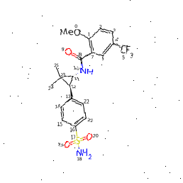 COc1ccc(C(F)(F)F)cc1C(=O)N[C@@H]1[C@@H](c2ccc(S(N)(=O)=O)cc2)C1(C)C